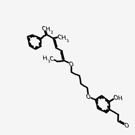 C=C(/C(C)=C/C=C(\CC)OCCCCOc1ccc(CC=O)c(O)c1)c1ccccc1